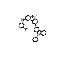 CC(C)C1=CCCC(N(C)C2=CC3C4=C(CCC(C5=Cc6c(n(-c7ccccc7)c7c6=CCCC=7)CC5)=C4)NC3C=C2)=C1